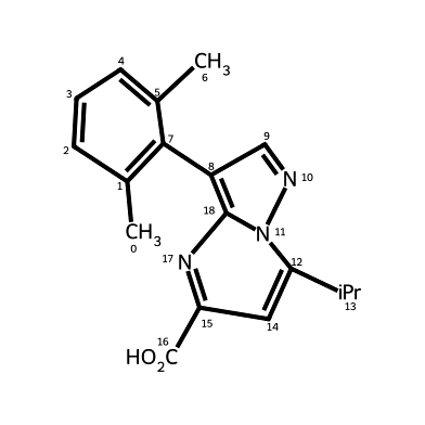 Cc1cccc(C)c1-c1cnn2c(C(C)C)cc(C(=O)O)nc12